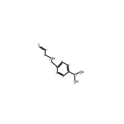 OB(O)c1ccc(CNCC=S)cc1